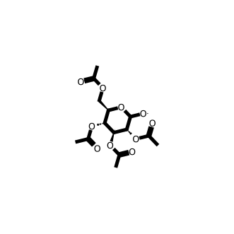 CC(=O)OC[C@H]1OC([O])[C@H](OC(C)=O)[C@@H](OC(C)=O)[C@@H]1OC(C)=O